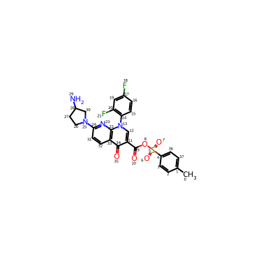 Cc1ccc(S(=O)(=O)OC(=O)c2cn(-c3ccc(F)cc3F)c3nc(N4CCC(N)C4)ccc3c2=O)cc1